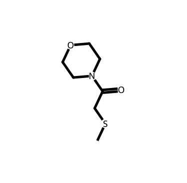 CSCC(=O)N1CCOCC1